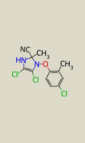 Cc1cc(Cl)ccc1ON1C(Cl)=C(Cl)NC1(C)C#N